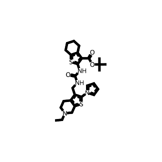 CCN1CCc2c(sc(-n3cccc3)c2CNC(=O)Nc2sc3c(c2C(=O)OC(C)(C)C)CCCC3)C1